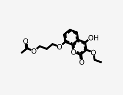 CCOc1c(O)c2cccc(OCCCOC(C)=O)c2oc1=O